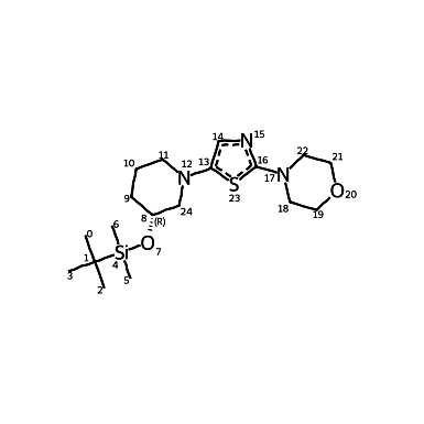 CC(C)(C)[Si](C)(C)O[C@@H]1CCCN(c2cnc(N3CCOCC3)s2)C1